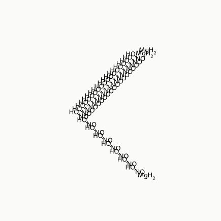 O=NO.O=NO.O=NO.O=NO.O=NO.O=NO.O=NO.O=NO.O=NO.O=NO.O=NO.O=NO.O=NO.O=NO.O=NO.O=NO.O=NO.O=NO.O=NO.O=NO.O=NO.O=NO.O=NO.O=NO.O=NO.O=NO.[MgH2].[MgH2].[MgH2]